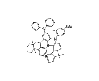 Cc1cc(C(C)(C)C)ccc1N1c2cc(N(c3ccccc3)c3ccccc3)cc3c2B(c2cc(C(C)(C)C)cc4c2C3CC2(C)CCCCC42C)c2c1ccc1c2-c2ccccc2C1(C)C